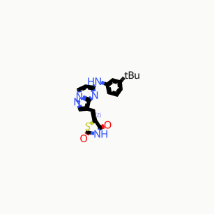 CC(C)(C)c1cccc(Nc2ccn3ncc(/C=C4\SC(=O)NC4=O)c3n2)c1